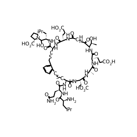 CC(C)C[C@H](NC(=O)[C@@H]1CSCc2ccccc2CSC[C@H](NC(=O)[C@H](CCC(N)=O)NC(=O)[C@@H](N)CC(C)C)C(=O)N[C@@H](CC(=O)O)C(=O)N[C@@H](C)C(=O)N[C@@H](CCC(=O)O)C(=O)N[C@@H]([C@H](C)O)C(=O)NCC(=O)N[C@@H](CCC(=O)O)C(=O)N1)C(O)N1CCC[C@H]1C(=O)O